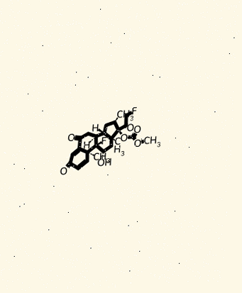 COC(=O)O[C@]1(C(=O)CF)[C@@H](C)C[C@H]2[C@@H]3CC(=O)C4=CC(=O)C=C[C@]4(C)[C@@]3(F)[C@@H](O)C[C@@]21C